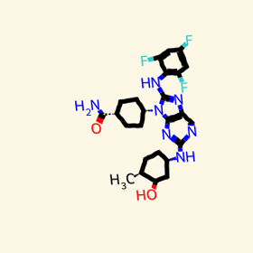 C[C@@H]1CC[C@@H](Nc2ncc3nc(Nc4c(F)cc(F)cc4F)n([C@H]4CC[C@@H](C(N)=O)CC4)c3n2)CC1O